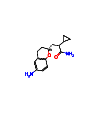 NC(=O)C(C[C@H]1CCc2cc(N)ccc2O1)C1CC1